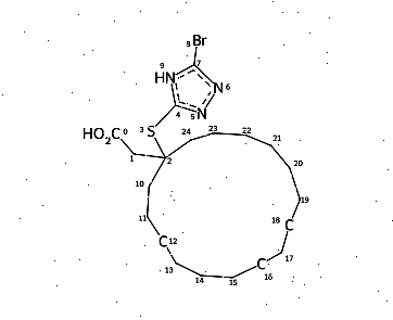 O=C(O)CC1(Sc2nnc(Br)[nH]2)CCCCCCCCCCCCCCC1